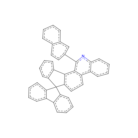 c1ccc2c(c1)-c1ccccc1C21c2ccccc2-c2c1ccc1c2c(-c2ccc3ccccc3c2)nc2ccccc21